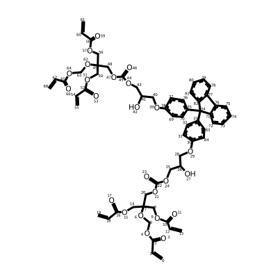 C=CC(=O)OCOC(COC(=O)C=C)(COC(=O)C=C)COC(=O)OCC(O)COc1ccc(C2(c3ccc(OCC(O)COC(=O)OCC(COC(=O)C=C)(COC(=O)C=C)OCOC(=O)C=C)cc3)c3ccccc3-c3ccccc32)cc1